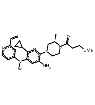 C=Cc1cc(N(C(C)=O)c2cc(N)c(N3CCN(C(=O)CCOC)[C@H](C)C3)nc2C2CC2)ccn1